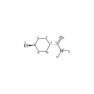 CC[C@H]1CC[C@H](C(=O)N(C)C)CC1